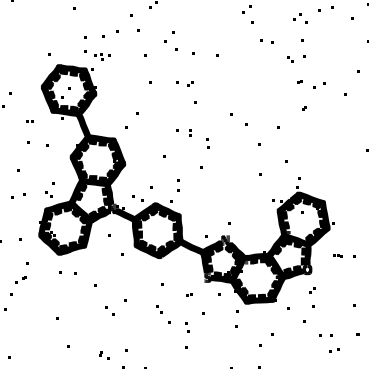 c1ccc(-c2ccc3c(c2)c2ccccc2n3-c2ccc(-c3nc4c(ccc5oc6ccccc6c54)s3)cc2)cc1